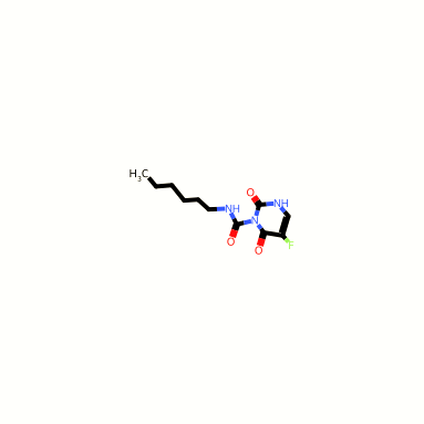 CCCCCCNC(=O)n1c(=O)[nH]cc(F)c1=O